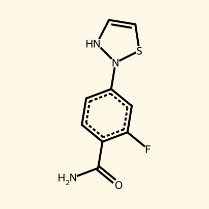 NC(=O)c1ccc(N2NC=CS2)cc1F